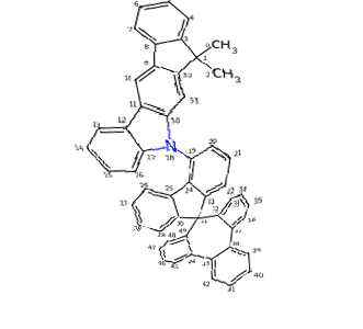 CC1(C)c2ccccc2-c2cc3c4ccccc4n(-c4cccc5c4-c4ccccc4C54c5ccccc5-c5ccccc5-c5ccccc54)c3cc21